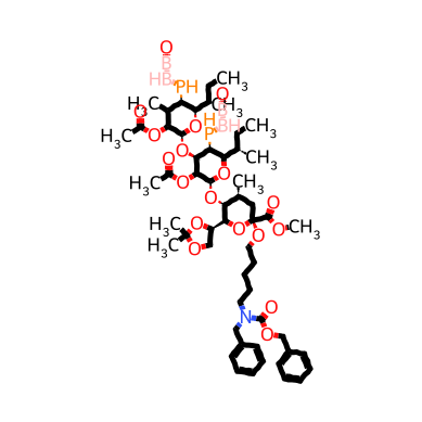 CC[C@H](C)C1O[C@H](O[C@H]2C([C@H]3COC(C)(C)O3)O[C@@](OCCCCCN(Cc3ccccc3)C(=O)OCc3ccccc3)(C(=O)OC)C[C@H]2C)C(OC(C)=O)[C@@H](O[C@H]2O[C@@H]([C@@H](C)CC)[C@@H](PBB=O)C(C)C2OC(C)=O)[C@@H]1PBB=O